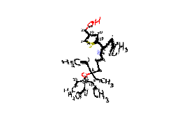 CC/C(=C/CCC(CC)(CC)O[Si](CC)(CC)CC)c1cc(CO)cs1